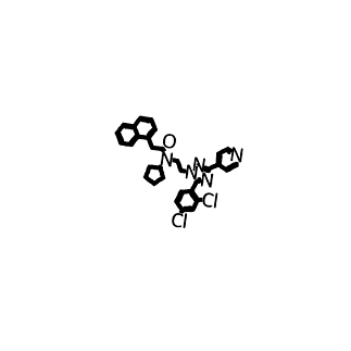 O=C(Cc1cccc2ccccc12)N(CCn1nc(-c2ccncc2)nc1-c1ccc(Cl)cc1Cl)C1CCCC1